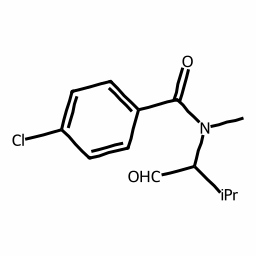 CC(C)C(C=O)N(C)C(=O)c1ccc(Cl)cc1